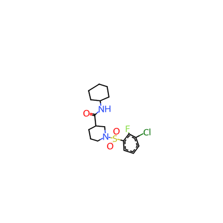 O=C(NC1CCCCC1)C1CCCN(S(=O)(=O)c2cccc(Cl)c2F)C1